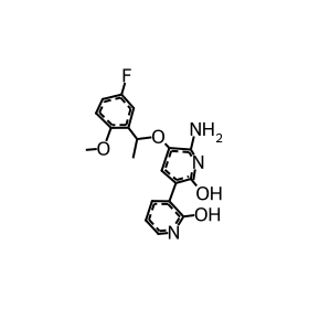 COc1ccc(F)cc1C(C)Oc1cc(-c2cccnc2O)c(O)nc1N